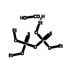 CCOP(=S)(OCC)OP(=S)(OCC)OCC.O=C(O)O